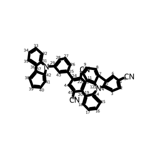 N#Cc1ccc2c(c1)c1ccccc1n2-c1ccccc1-c1cc(C#N)c(-c2cccc(-n3c4ccccc4c4ccccc43)c2)cc1C#N